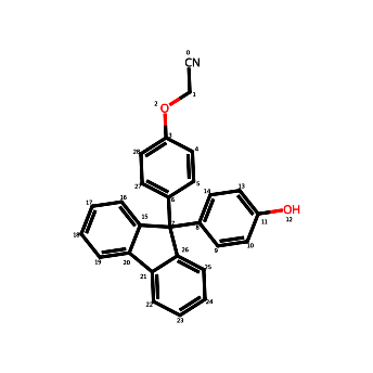 N#CCOc1ccc(C2(c3ccc(O)cc3)c3ccccc3-c3ccccc32)cc1